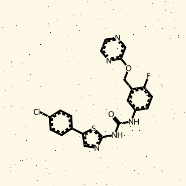 O=C(Nc1ccc(F)c(COc2cnccn2)c1)Nc1ncc(-c2ccc(Cl)cc2)s1